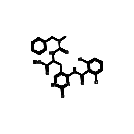 COC(=O)C(Cc1c[nH]c(=O)nc1NC(=O)c1c(Cl)cccc1Cl)NC(=O)N(C)Cc1ccccc1